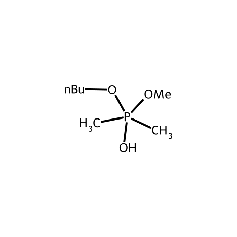 CCCCOP(C)(C)(O)OC